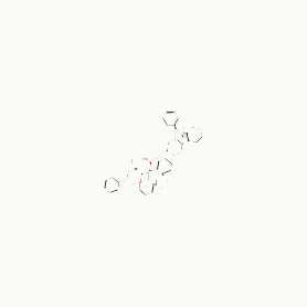 C1=CCC2C(=C1)Oc1ccccc1C21C2C=C(C3CCc4c5c(n(-c6ccccc6)c4C3)CCC=C5)C=CC2OC2CC(c3ccccc3)CCC21